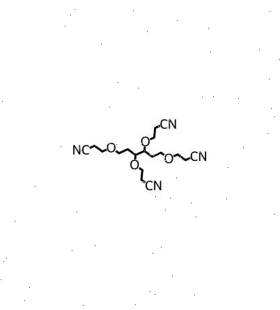 N#CCCOCCC(OCCC#N)C(CCOCCC#N)OCCC#N